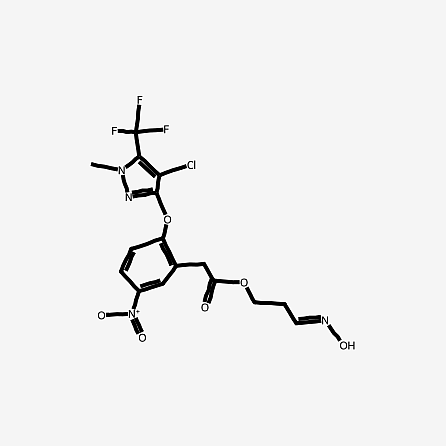 Cn1nc(Oc2ccc([N+](=O)[O-])cc2CC(=O)OCCC=NO)c(Cl)c1C(F)(F)F